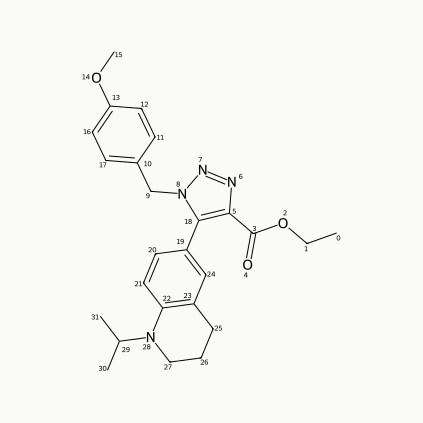 CCOC(=O)c1nnn(Cc2ccc(OC)cc2)c1-c1ccc2c(c1)CCCN2C(C)C